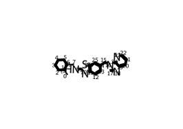 C[C@H]1CCCC[C@H]1CNc1nc2ccc(Cn3cnc4cccnc43)cc2s1